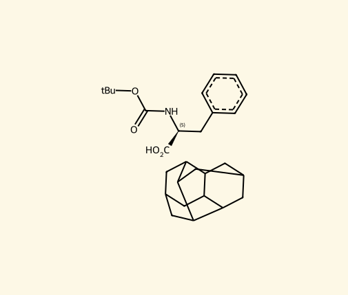 C1C2CC3C4CC5CC(C14)C(C2)C3C5.CC(C)(C)OC(=O)N[C@@H](Cc1ccccc1)C(=O)O